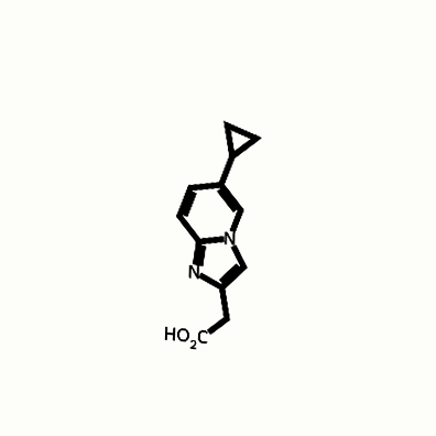 O=C(O)Cc1cn2cc(C3CC3)ccc2n1